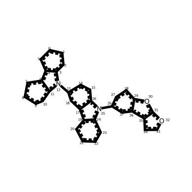 c1ccc2c(c1)c1ccccc1n2-c1ccc2c(c1)c1ccccc1n2-c1ccc2oc3occc3c2c1